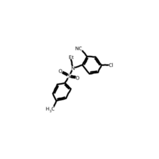 CCN(c1ccc(Cl)cc1C#N)S(=O)(=O)c1ccc(C)cc1